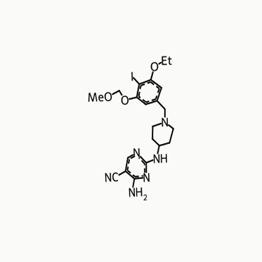 CCOc1cc(CN2CCC(Nc3ncc(C#N)c(N)n3)CC2)cc(OCOC)c1I